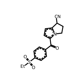 CCS(=O)(=O)c1ccc(C(=O)c2ccc3n2CCC3C#N)cc1